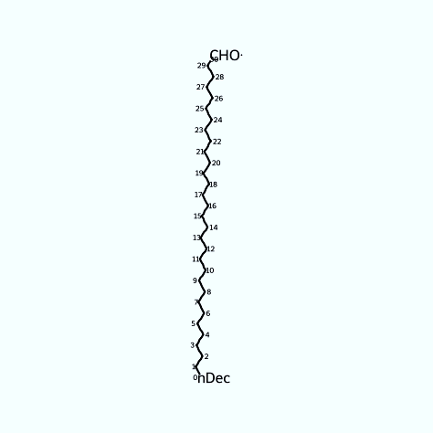 CCCCCCCCCCCCCCCCCCCCCCCCCCCCCCCCCCCCCCC[C]=O